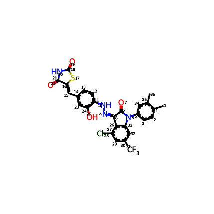 Cc1ccc(N2C(=O)/C(=N\Nc3ccc(/C=C4\SC(=O)NC4=O)cc3O)c3c(Cl)cc(C(F)(F)F)cc32)cc1C